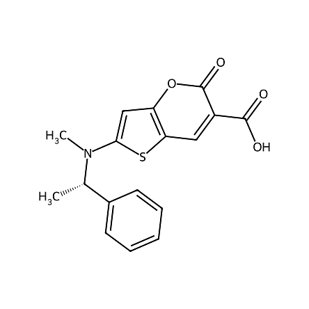 C[C@@H](c1ccccc1)N(C)c1cc2oc(=O)c(C(=O)O)cc2s1